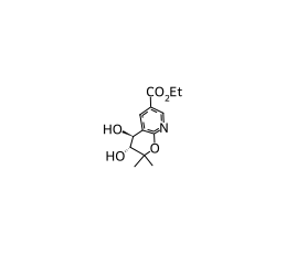 CCOC(=O)c1cnc2c(c1)[C@H](O)[C@@H](O)C(C)(C)O2